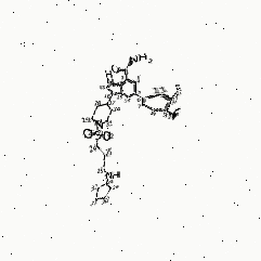 NC(=O)c1cc(-c2ccc(F)c(F)c2)cc2c(C3CCN(S(=O)(=O)CCCNC4CCCC4)CC3)c[nH]c12